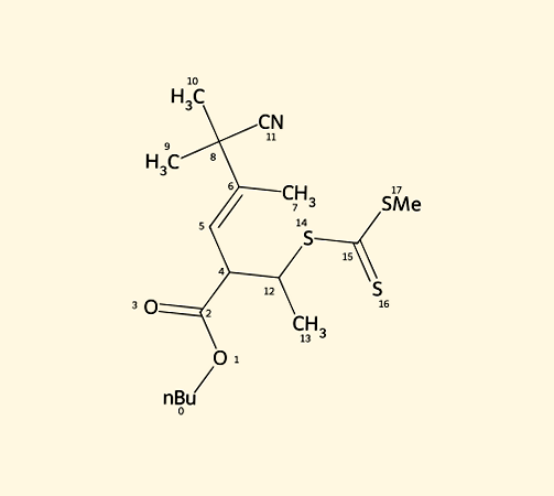 CCCCOC(=O)C(/C=C(\C)C(C)(C)C#N)C(C)SC(=S)SC